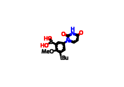 COc1c(B(O)O)cc(-n2ccc(=O)[nH]c2=O)cc1C(C)(C)C